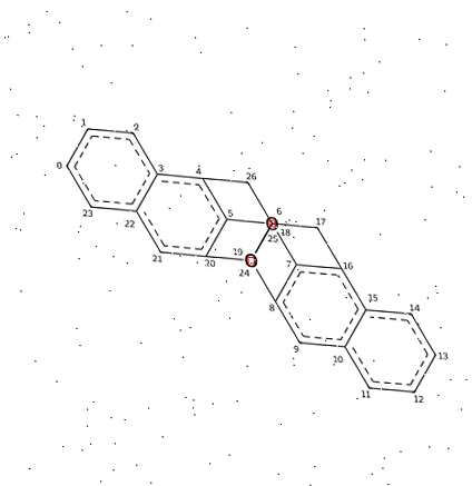 c1ccc2c3c(Oc4c5cc6ccccc6c4CCO5)c(cc2c1)OCC3